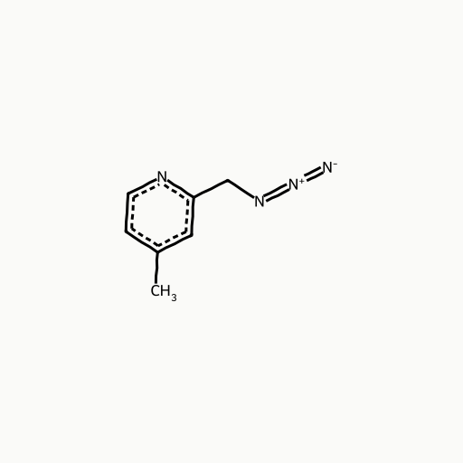 Cc1ccnc(CN=[N+]=[N-])c1